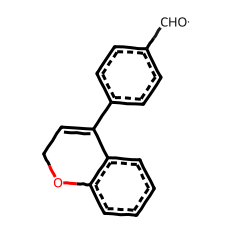 O=[C]c1ccc(C2=CCOc3ccccc32)cc1